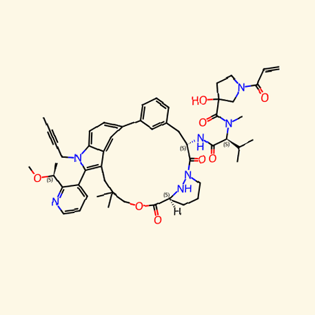 C=CC(=O)N1CCC(O)(C(=O)N(C)[C@H](C(=O)N[C@H]2Cc3cccc(c3)-c3ccc4c(c3)c(c(-c3cccnc3[C@H](C)OC)n4CC#CC)CC(C)(C)COC(=O)[C@@H]3CCCN(N3)C2=O)C(C)C)C1